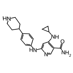 NC(=O)c1cnc(Nc2ccc(C3CCNCC3)cc2)cc1NC1CC1